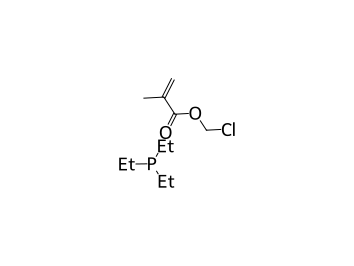 C=C(C)C(=O)OCCl.CCP(CC)CC